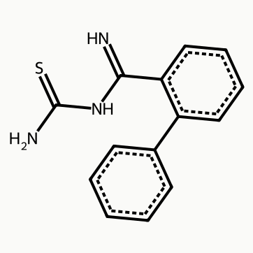 N=C(NC(N)=S)c1ccccc1-c1ccccc1